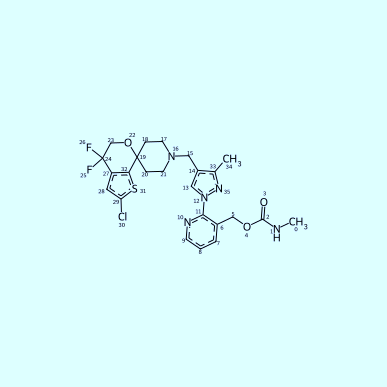 CNC(=O)OCc1cccnc1-n1cc(CN2CCC3(CC2)OCC(F)(F)c2cc(Cl)sc23)c(C)n1